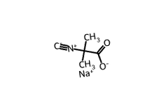 [C-]#[N+]C(C)(C)C(=O)[O-].[Na+]